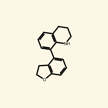 c1cc2c(c(-c3cccc4c3NCCC4)c1)CCO2